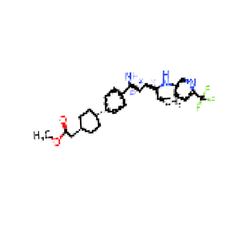 C=C/C(=C\C=C(/N)c1ccc([C@H]2CC[C@H](CC(=O)OC)CC2)cc1)Nc1ccc(C(F)(F)F)nc1